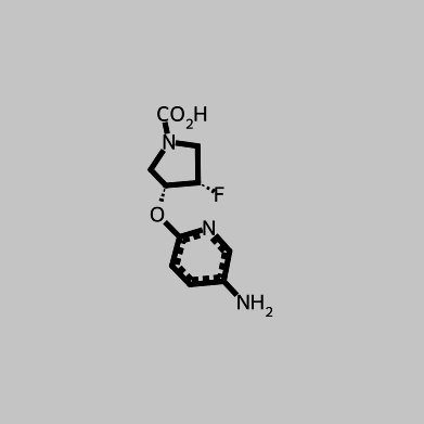 Nc1ccc(O[C@@H]2CN(C(=O)O)C[C@@H]2F)nc1